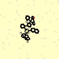 c1ccc2c(c1)Oc1c(-c3ccccc3-c3nc(-c4ccc5ccccc5c4)nc(C45CC6C[C@@H]7C[C@@H](CCC4[C@@H]67)C5)n3)cccc1C21c2ccccc2-c2ccccc21